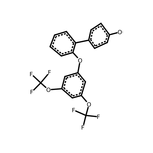 [O]c1ccc(-c2ccccc2Oc2cc(OC(F)(F)F)cc(OC(F)(F)F)c2)cc1